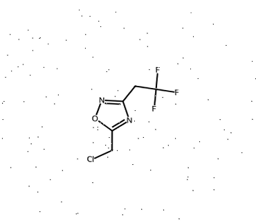 FC(F)(F)Cc1noc(CCl)n1